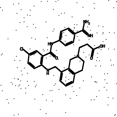 N=C(N)c1ccc(NC(=O)c2cc(Cl)ccc2NCc2cccc3c2CN(CCC(=O)O)CC3)cc1